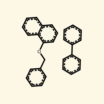 c1ccc(-c2ccccc2)cc1.c1ccc(COc2cccc3ccccc23)cc1